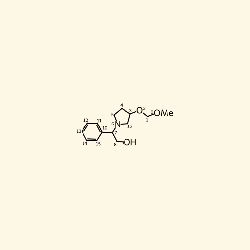 COCOC1CCN(C(CO)c2ccccc2)C1